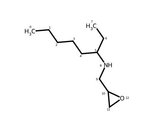 CCCCCC(CC)NCC1CO1